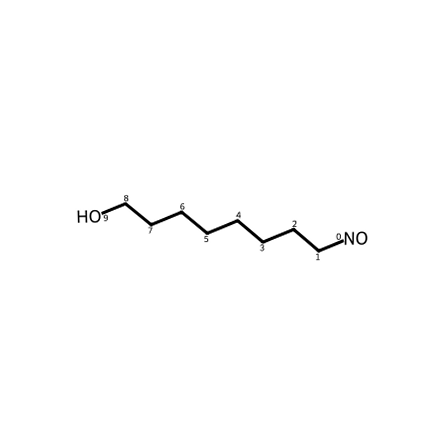 O=NCCCCCCCCO